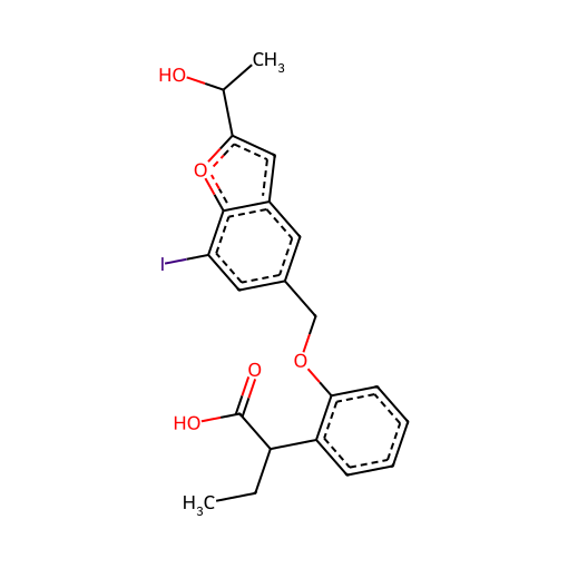 CCC(C(=O)O)c1ccccc1OCc1cc(I)c2oc(C(C)O)cc2c1